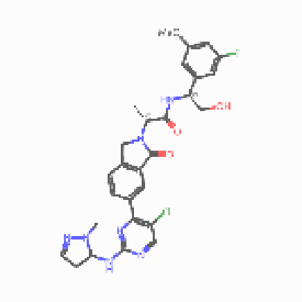 COc1cc(F)cc([C@@H](CO)NC(=O)[C@@H](C)N2Cc3ccc(-c4nc(NC5CC=NN5C)ncc4Cl)cc3C2=O)c1